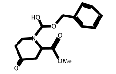 COC(=O)C1CC(=O)CCN1C(O)OCc1ccccc1